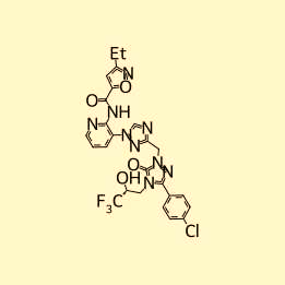 CCc1cc(C(=O)Nc2ncccc2-n2cnc(Cn3nc(-c4ccc(Cl)cc4)n(C[C@H](O)C(F)(F)F)c3=O)n2)on1